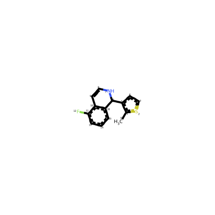 Cc1sccc1C1NC=Cc2c(F)cccc21